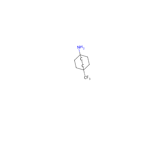 NC12CCC(C(F)(F)F)(CC1)CC2